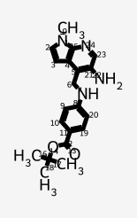 Cn1ccc2c(CNc3ccc(C(=O)OC(C)(C)C)cc3)c(N)cnc21